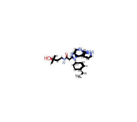 CC(C)(O)CCNC(=O)Cc1nc2cnc3[nH]ccc3c2n1[C@H]1CC[C@H](CC#N)CC1